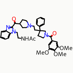 COc1cc(C(=O)N2CCC(CCN3CCC(C(=O)c4nc5ccccc5n4CCNC(C)=O)CC3)(c3ccccc3)C2)cc(OC)c1OC